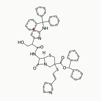 O=C(NC1C(=O)N2CC(SC=Cc3cccnc3)(C(=O)OC(c3ccccc3)c3ccccc3)CS[C@H]12)C(CO)c1csc(NC(c2ccccc2)(c2ccccc2)c2ccccc2)n1